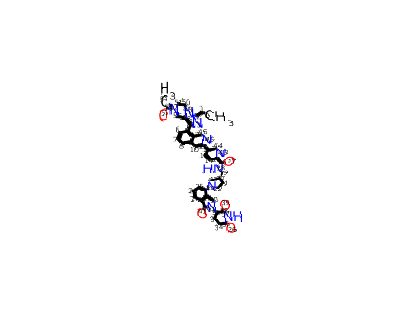 CCc1nc(-c2cccc3cc(-c4ccc(C(=O)NC[C@H]5CCN(c6cccc7c6CN(C6CCC(=O)NC6=O)C7=O)C5)nc4)ncc23)c2n1CCN(C(C)=O)C2